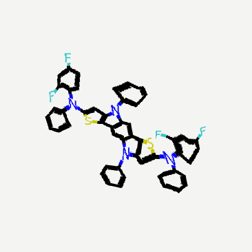 Fc1ccc(N(c2ccccc2)c2cc3c(s2)c2cc4c(cc2n3-c2ccccc2)c2sc(N(c3ccccc3)c3ccc(F)cc3F)cc2n4-c2ccccc2)c(F)c1